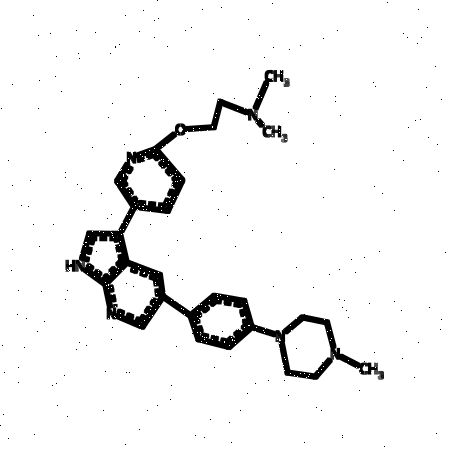 CN(C)CCOc1ccc(-c2c[nH]c3ncc(-c4ccc(N5CCN(C)CC5)cc4)cc23)cn1